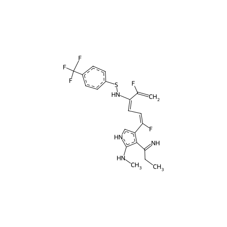 C=C(F)/C(=C\C=C(\F)c1c[nH]c(NC)c1C(=N)CC)NSc1ccc(C(F)(F)F)cc1